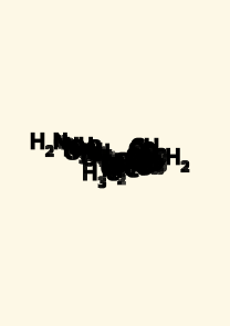 C=CCOC(=O)N1c2cc(OCCCC(=O)Nc3cn(C)c(C(=O)Nc4ccc(-c5cc(C(=O)NCCCOC(=O)NCCCN)n(C)c5)cc4)n3)c(OC)cc2C(=O)N2CC(=C)C[C@H]2C1OC1CCCCO1